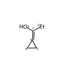 CCC(O)=C1CC1